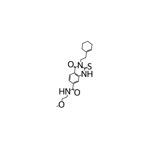 COCCNC(=O)c1ccc2c(=O)n(CCC3=CCCCC3)c(=S)[nH]c2c1